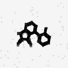 Cc1ccccc1-c1cccc2c1C(=O)C(=O)N2